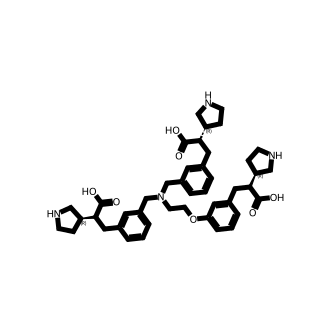 O=C(O)C(Cc1cccc(CN(CCOc2cccc(CC(C(=O)O)[C@H]3CCNC3)c2)Cc2cccc(CC(C(=O)O)[C@H]3CCNC3)c2)c1)[C@H]1CCNC1